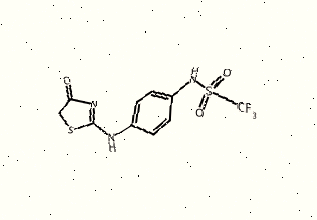 O=C1CSC(Nc2ccc(NS(=O)(=O)C(F)(F)F)cc2)=N1